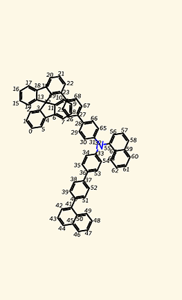 c1ccc2c(c1)-c1ccccc1C21c2ccccc2-c2cccc(-c3ccc(-c4ccc(N(c5ccc(-c6ccc(-c7cccc8ccccc78)cc6)cc5)c5cccc6ccccc56)cc4)cc3)c21